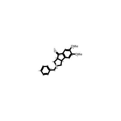 COc1cc2c(cc1OC)C1CN(Cc3ccccc3)CC1C2=O